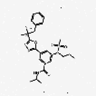 CCCN(c1cc(C(=O)NC(C)C)cc(-c2nnc([C@](C)(N)Cc3ccccc3)o2)c1)S(C)(=O)=O